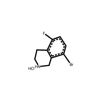 Cl.Fc1ccc(Br)c2c1CCNC2